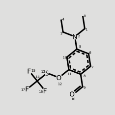 CCN(CC)c1ccc(C=O)c(OSC(F)(F)F)c1